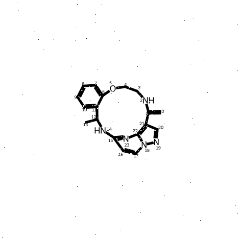 C=C1NCCOc2ccccc2C(C)Nc2ccn3ncc1c3n2